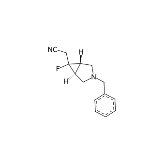 N#CCC1(F)[C@@H]2CN(Cc3ccccc3)C[C@H]21